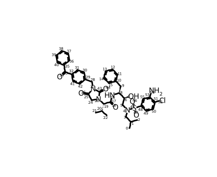 CC(C)CN(C[C@H](O)[C@H](Cc1ccccc1)NC(=O)[C@H](C(C)C)N1CC(=O)N(Cc2ccc(C(=O)c3ccccc3)cc2)C1=O)S(=O)(=O)c1ccc(Cl)c(N)c1